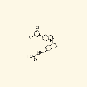 CC(C)CC(c1ccc(CNCCC(=O)O)cc1)n1ncc2cc(-c3cc(Cl)cc(Cl)c3)ccc21